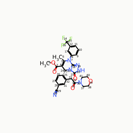 COC(=O)C1=C(C)N(c2cccc(C(F)(F)F)c2)c2n[nH]c(=O)n2[C@@H]1c1ccc(C#N)cc1CC(=O)N1CCOCC1